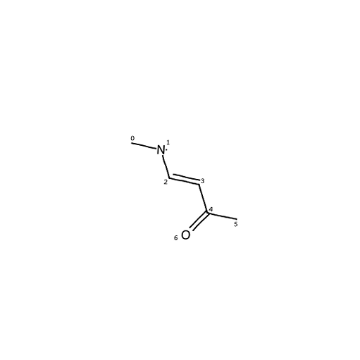 C[N]C=CC(C)=O